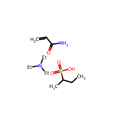 C=CC(N)=O.CCC(C)S(=O)(=O)O.CCN(CC)CC